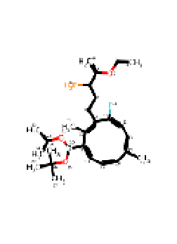 C=C(OCC)C(P)CCc1c(F)ccc(C)cccc(B(OC(C)C)OC(C)(C)C)c1C